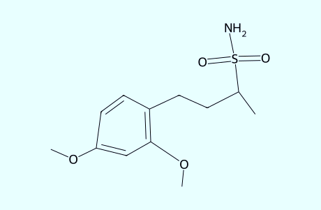 COc1ccc(CCC(C)S(N)(=O)=O)c(OC)c1